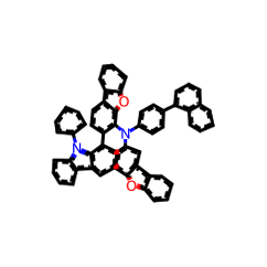 c1ccc(-n2c3ccccc3c3cccc(-c4ccc5c(oc6ccccc65)c4N(c4ccc(-c5cccc6ccccc56)cc4)c4ccc5oc6ccccc6c5c4)c32)cc1